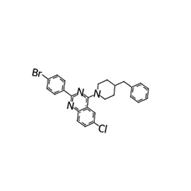 Clc1ccc2nc(-c3ccc(Br)cc3)nc(N3CCC(Cc4ccccc4)CC3)c2c1